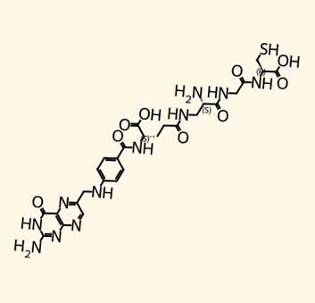 Nc1nc2ncc(CNc3ccc(C(=O)N[C@@H](CCC(=O)NC[C@H](N)C(=O)NCC(=O)N[C@@H](CS)C(=O)O)C(=O)O)cc3)nc2c(=O)[nH]1